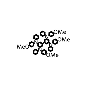 COc1ccc(N(c2ccccc2)c2cc(-c3cc(N(c4ccccc4)c4ccc(OC)cc4)cc(N(c4ccccc4)c4ccc(OC)cc4)c3)cc(N(c3ccccc3)c3ccc(OC)cc3)c2)cc1